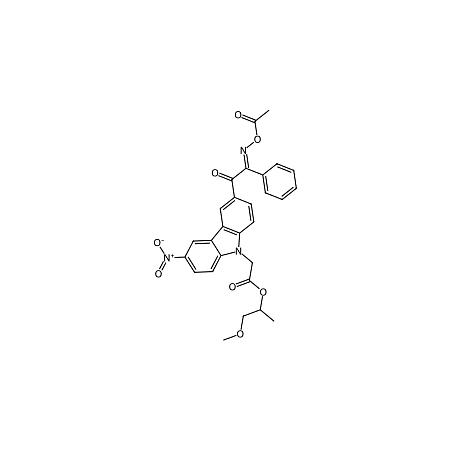 COCC(C)OC(=O)Cn1c2ccc(C(=O)/C(=N/OC(C)=O)c3ccccc3)cc2c2cc([N+](=O)[O-])ccc21